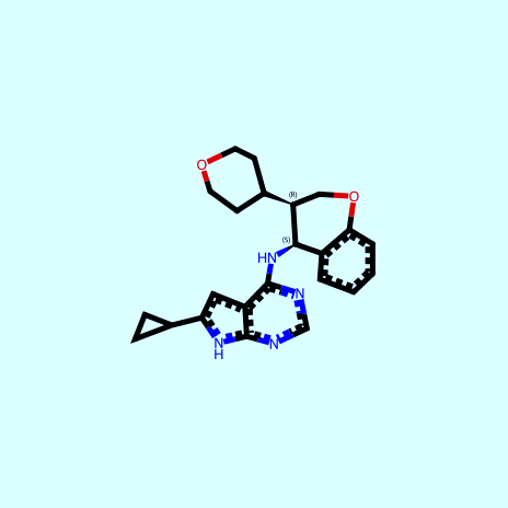 c1ccc2c(c1)OC[C@H](C1CCOCC1)[C@@H]2Nc1ncnc2[nH]c(C3CC3)cc12